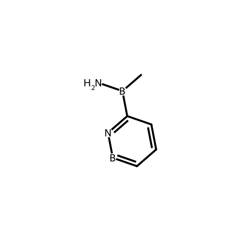 CB(N)c1cccbn1